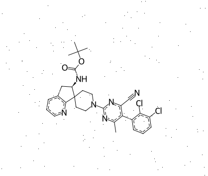 Cc1nc(N2CCC3(CC2)c2ncccc2C[C@H]3NC(=O)OC(C)(C)C)nc(C#N)c1-c1cccc(Cl)c1Cl